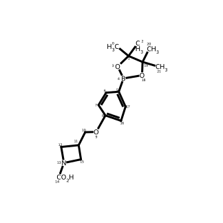 CC1(C)OB(c2ccc(OCC3CN(C(=O)O)C3)cc2)OC1(C)C